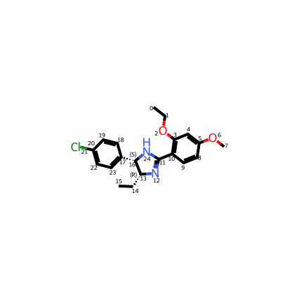 CCOc1cc(OC)ccc1C1=N[C@H](CC)[C@H](c2ccc(Cl)cc2)N1